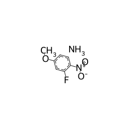 COc1ccc([N+](=O)[O-])c(F)c1.N